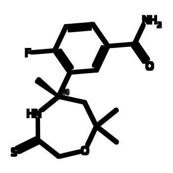 CC1(C)C[C@@](C)(c2cc(C(N)=O)ccc2F)NC(=S)CO1